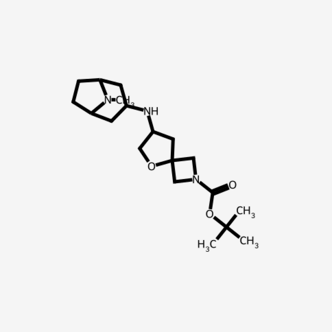 CN1C2CCC1CC(NC1COC3(C1)CN(C(=O)OC(C)(C)C)C3)C2